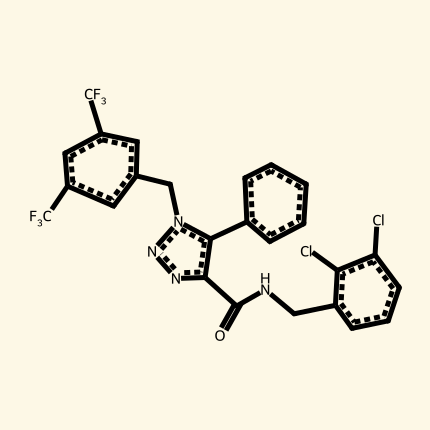 O=C(NCc1cccc(Cl)c1Cl)c1nnn(Cc2cc(C(F)(F)F)cc(C(F)(F)F)c2)c1-c1ccccc1